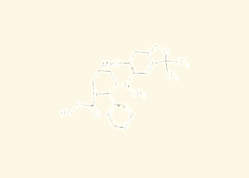 COC1=C(N(C)[C@H]2CCCN(C(=O)OC(C)(C)C)[C@H]2c2ccccc2)C=C2C(=COC2(C(F)(F)F)C(F)(F)F)C1